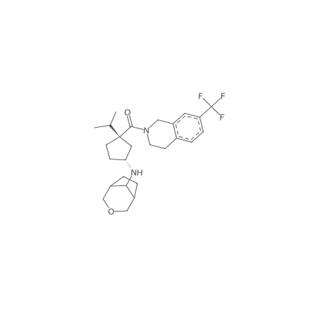 CC(C)[C@]1(C(=O)N2CCc3ccc(C(F)(F)F)cc3C2)CC[C@@H](NC2C3CCC2COC3)C1